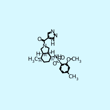 COc1cc(C)ccc1S(=O)(=O)N[C@H]1CC[C@@H](C)[C@H]2CN(C(=O)c3cnn[nH]3)C[C@H]21